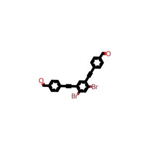 O=Cc1ccc(C#Cc2cc(C#Cc3ccc(C=O)cc3)c(Br)cc2Br)cc1